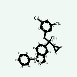 OC(Cc1cc(Cl)cc(Cl)c1)(c1ccc2c(cnn2-c2ccccc2)c1)C1CC1